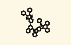 c1ccc(-c2nc3ccc(-c4cc(-n5c6ccccc6c6cc7c8c9ccccc9c9ccccc9c8n(-c8ccccc8)c7cc65)c5ccccc5c4)cc3nc2-c2ccccc2)cc1